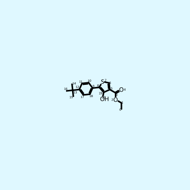 CCOC(=O)c1csc(-c2ccc(C(C)(C)C)cc2)c1O